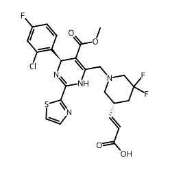 COC(=O)C1=C(CN2C[C@@H](/C=C/C(=O)O)CC(F)(F)C2)NC(c2nccs2)=N[C@H]1c1ccc(F)cc1Cl